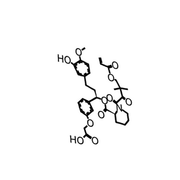 C=CC(=O)OCC(C)(C)C(=O)C(=O)N1CCCC[C@H]1C(=O)O[C@H](CCc1ccc(OC)c(O)c1)c1cccc(OCC(=O)O)c1